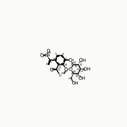 C=C(c1ccc(O[C@@H]2O[C@H](CO)[C@@H](O)[C@H](O)[C@H]2O)c(OC)c1C(C)=O)[N+](=O)[O-]